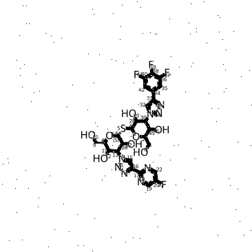 OCC1OC(S[C@@H]2O[C@H](CO)C(O)C(n3cc(-c4ncc(F)cn4)nn3)C2O)C(O)C(n2cc(-c3cc(F)c(F)c(F)c3)nn2)C1O